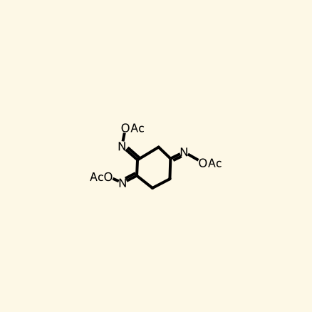 CC(=O)ON=C1CCC(=NOC(C)=O)C(=NOC(C)=O)C1